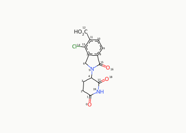 O=C1CCC(N2Cc3c(ccc(C(=O)O)c3Cl)C2=O)C(=O)N1